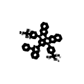 CC(C)(C)c1ccc(N2c3cc4ccccc4cc3B3c4cc5ccccc5cc4N(c4ccc(C(C)(C)C)cc4)c4cc(-c5nc(-c6ccccc6)c6ccccc6n5)cc2c43)cc1